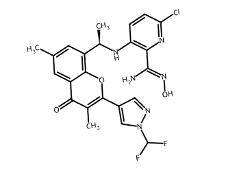 Cc1cc([C@@H](C)Nc2ccc(Cl)nc2/C(N)=N/O)c2oc(-c3cnn(C(F)F)c3)c(C)c(=O)c2c1